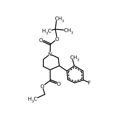 CCOC(=O)C1CCN(C(=O)OC(C)(C)C)CC1c1ccc(F)cc1C